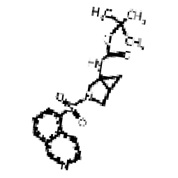 CC(C)(C)OC(=O)NC12CC1CN(S(=O)(=O)c1cccc3cnccc13)C2